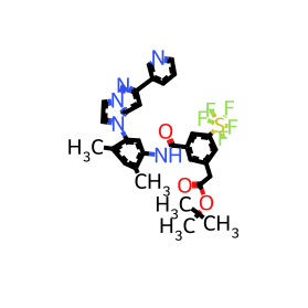 Cc1cc(C)c(-n2ccn3nc(-c4cccnc4)cc23)cc1NC(=O)c1cc(CC(=O)OC(C)(C)C)cc(S(F)(F)(F)(F)F)c1